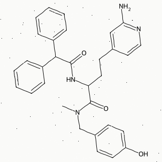 CN(Cc1ccc(O)cc1)C(=O)C(CCc1ccnc(N)c1)NC(=O)C(c1ccccc1)c1ccccc1